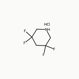 Cl.FC1(F)CNCC(F)(F)C1